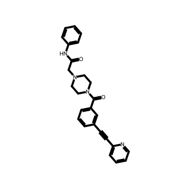 O=C(CN1CCN(C(=O)c2cccc(C#Cc3ccccn3)c2)CC1)Nc1ccccc1